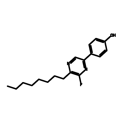 CCCCCCCCc1ncc(-c2ccc(O)cc2)nc1F